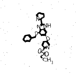 CCS(=O)(=O)c1ccc(Oc2cc(OCc3ccccc3)c3nc(-c4ccccn4)[nH]c3c2)cn1